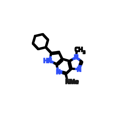 CNc1nc2[nH]c(C3CCCCC3)cc2c2c1ncn2C